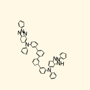 C1=CC(c2cccc(-c3cccc(N(C4=Cc5nn(-c6ccccc6)nc5CC4)c4ccccc4)c3)c2)=CC(c2cccc(N(C3=CC4NN(c5ccccc5)N=C4C=C3)c3ccccc3)c2)C1